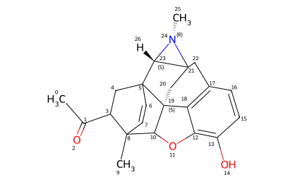 CC(=O)C1CC23C=CC1(C)C1Oc4c(O)ccc5c4[C@@]12CC1(C5)[C@H]3[N@]1C